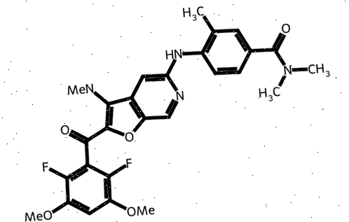 CNc1c(C(=O)c2c(F)c(OC)cc(OC)c2F)oc2cnc(Nc3ccc(C(=O)N(C)C)cc3C)cc12